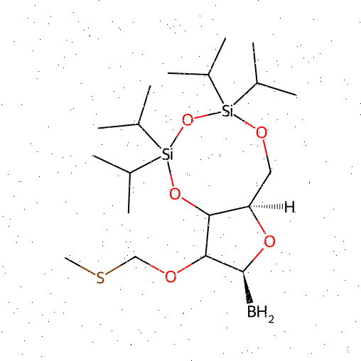 B[C@@H]1O[C@@H]2CO[Si](C(C)C)(C(C)C)O[Si](C(C)C)(C(C)C)OC2C1OCSC